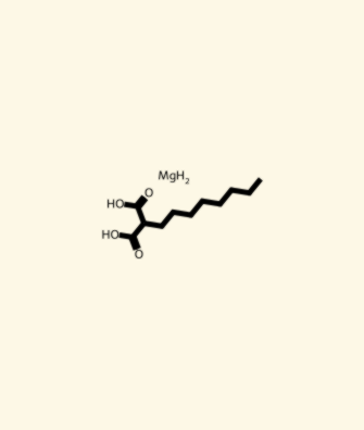 CCCCCCCCC(C(=O)O)C(=O)O.[MgH2]